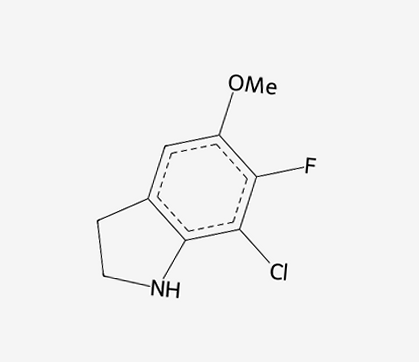 COc1cc2c(c(Cl)c1F)NCC2